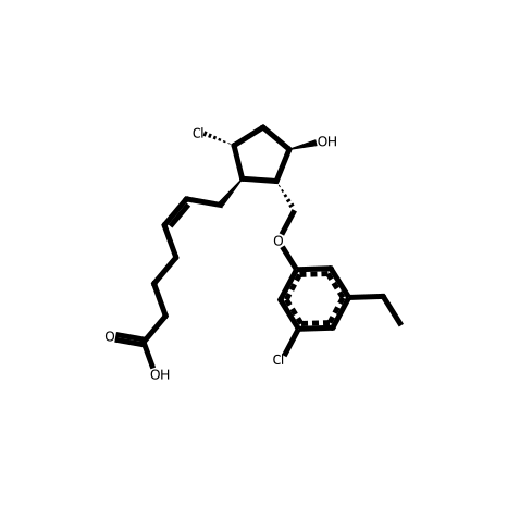 CCc1cc(Cl)cc(OC[C@@H]2[C@@H](C/C=C\CCCC(=O)O)[C@H](Cl)C[C@H]2O)c1